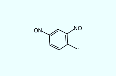 [CH2]c1ccc(N=O)cc1N=O